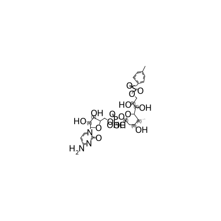 Cc1ccc(S(=O)(=O)OC[C@@H](O)[C@@H](O)C2O[C@@](C=O)(OP(=O)(O)OCC3OC(n4ccc(N)nc4=O)[C@H](O)[C@@H]3O)C[C@@H](O)[C@H]2C)cc1